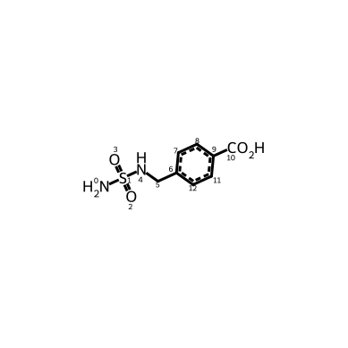 NS(=O)(=O)NCc1ccc(C(=O)O)cc1